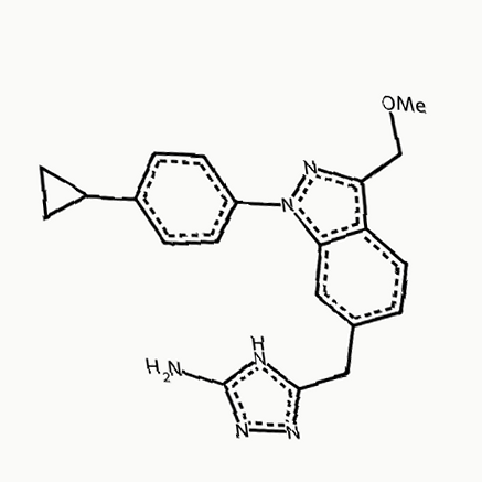 COCc1nn(-c2ccc(C3CC3)cc2)c2cc(Cc3nnc(N)[nH]3)ccc12